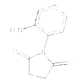 Nc1ccccc1N1C(=O)CCC1=O